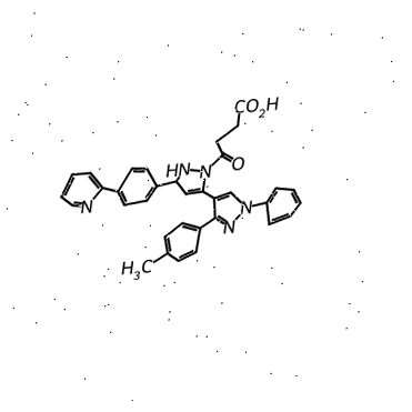 Cc1ccc(-c2nn(-c3ccccc3)cc2C2=CC(c3ccc(-c4ccccn4)cc3)NN2C(=O)CCC(=O)O)cc1